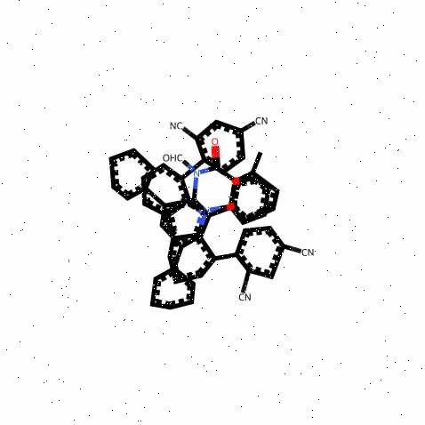 Cc1cccc(-n2c3c(-c4ccc(C#N)cc4C#N)cccc3c3cccc(-c4ccc(C#N)cc4C#N)c32)c1C(=O)N(C=O)c1c(-c2ccccc2)cc(-c2ccccc2)cc1-c1ccccc1